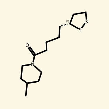 CC1CCN(C(=O)CCCC[C@@H]2CCSS2)CC1